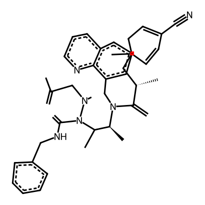 C=C(C)CN(C)N(C(=C)NCc1ccccc1)C(C)[C@H](C)N(Cc1cccc2cccnc12)C(=C)[C@@H](C)CC1(C)C=CC(C#N)=CC1